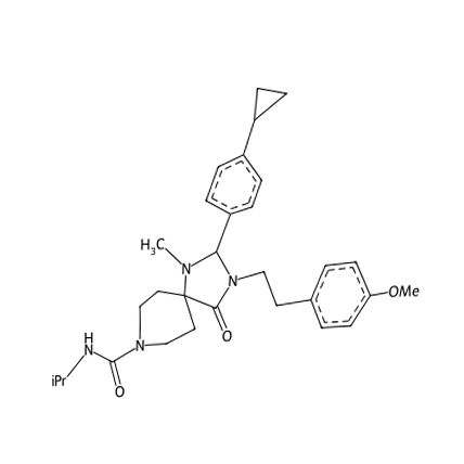 COc1ccc(CCN2C(=O)C3(CCN(C(=O)NC(C)C)CC3)N(C)C2c2ccc(C3CC3)cc2)cc1